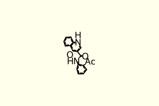 CC(=O)c1ccccc1NC(=O)c1c[nH]c2ccccc2c1=O